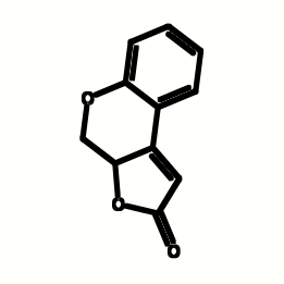 O=C1C=C2c3ccccc3OCC2O1